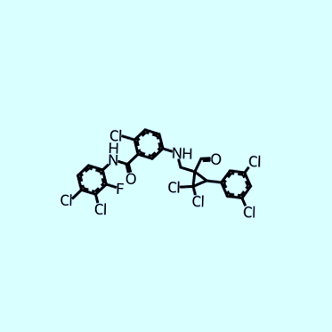 O=CC1(CNc2ccc(Cl)c(C(=O)Nc3ccc(Cl)c(Cl)c3F)c2)C(c2cc(Cl)cc(Cl)c2)C1(Cl)Cl